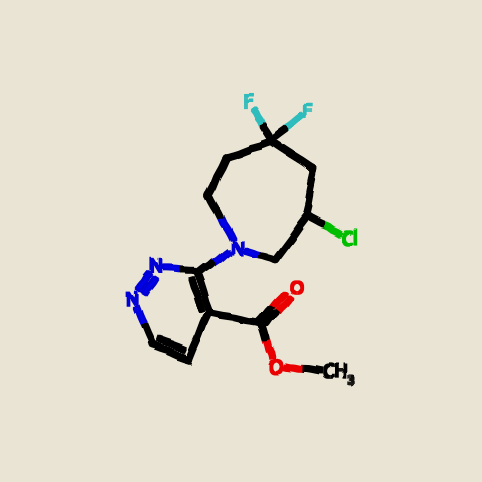 COC(=O)c1ccnnc1N1CCC(F)(F)CC(Cl)C1